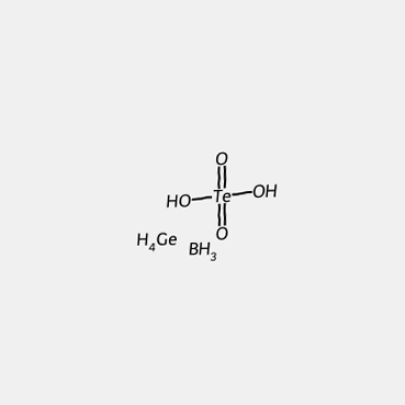 B.O=[Te](=O)(O)O.[GeH4]